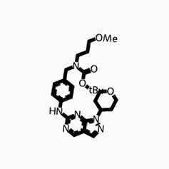 COCCCN(Cc1ccc(Nc2ncc3cnn(C4CCOCC4)c3n2)cc1)C(=O)OC(C)(C)C